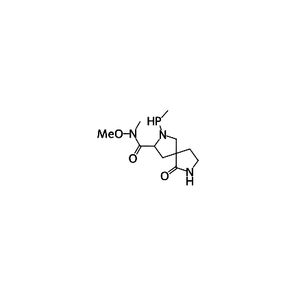 CON(C)C(=O)C1CC2(CCNC2=O)CN1PC